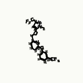 Cn1nc(C(F)(F)F)cc1OCc1cccc(Oc2cccc(C(F)(F)F)c2)n1